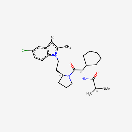 CN[C@@H](C)C(=O)N[C@H](C(=O)N1CCC[C@H]1CCn1c(C)c(C(C)=O)c2cc(Cl)ccc21)C1CCCCC1